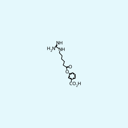 N=C(N)NCCCCCC(=O)Oc1cccc(C(=O)O)c1